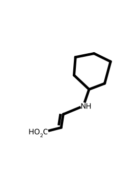 O=C(O)C=CNC1CCCCC1